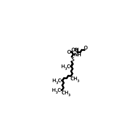 C/C(=C\CSCC(NC(=O)CCC=O)C(=O)O)CCCC(C)CCCC(C)CCCC(C)C